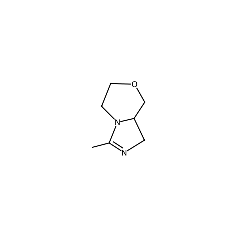 CC1=NCC2COCCN12